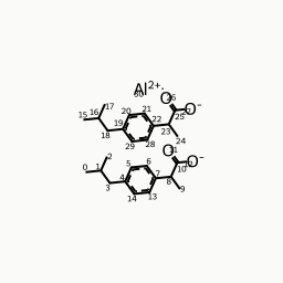 CC(C)Cc1ccc(C(C)C(=O)[O-])cc1.CC(C)Cc1ccc(C(C)C(=O)[O-])cc1.[Al+2]